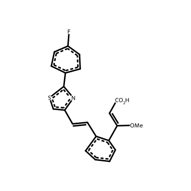 CO/C(=C\C(=O)O)c1ccccc1/C=C/c1csc(-c2ccc(F)cc2)n1